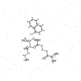 CCCN(CCC)C(=O)CCCC(=O)N[C@@H](Cc1cccc2ccccc12)[C@H](O)CNCCC(C)C